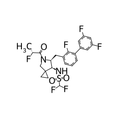 C[C@@H](F)C(=O)N1CC2(CC2)[C@H](NS(=O)(=O)C(F)F)[C@@H]1Cc1cccc(-c2cc(F)cc(F)c2)c1F